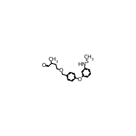 CSNc1cccc(Oc2ccc(COCCC(C)C=O)cc2)c1